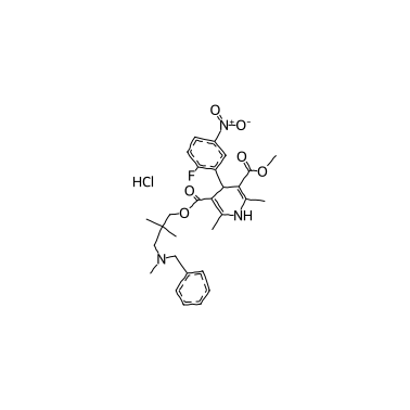 COC(=O)C1=C(C)NC(C)=C(C(=O)OCC(C)(C)CN(C)Cc2ccccc2)C1c1cc([N+](=O)[O-])ccc1F.Cl